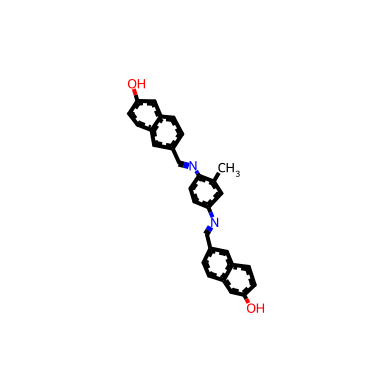 Cc1cc(N=Cc2ccc3cc(O)ccc3c2)ccc1N=Cc1ccc2cc(O)ccc2c1